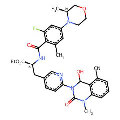 CCOC(=O)[C@H](Cc1ccc(N2C(=O)N(C)c3cccc(C#N)c3C2O)nc1)NC(=O)c1c(C)cc(N2CCOC[C@@H]2C(F)(F)F)cc1F